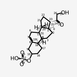 C[C@]12CC[C@H]3[C@@H](CC=C4CC(OS(=O)(=O)O)CC[C@@]43C)[C@@H]1CC[C@@H]2C(=O)CO